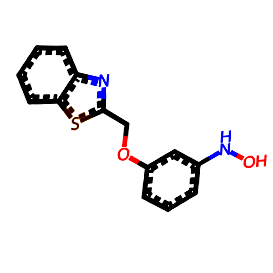 ONc1cccc(OCc2nc3ccccc3s2)c1